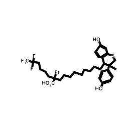 CCC(CCCCCCCCCC1c2ccc(O)cc2SCC1(C)c1ccc(O)cc1)(CCCCC(F)(F)C(F)(F)F)C(=O)O